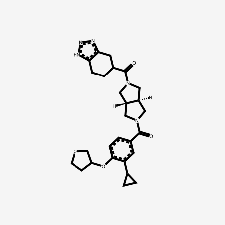 O=C(c1ccc(OC2CCOC2)c(C2CC2)c1)N1C[C@@H]2CN(C(=O)C3CCc4[nH]nnc4C3)C[C@H]2C1